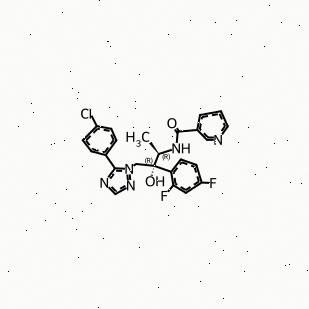 C[C@@H](NC(=O)c1cccnc1)[C@](O)(Cn1ncnc1-c1ccc(Cl)cc1)c1ccc(F)cc1F